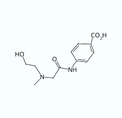 CN(CCO)CC(=O)Nc1ccc(C(=O)O)cc1